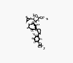 OC(CN(CC1CC1)c1cccc(Oc2cccc(OC(F)(F)F)c2)c1)C(F)(F)F